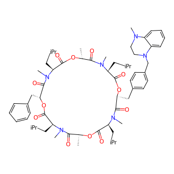 CC(C)C[C@H]1C(=O)O[C@H](Cc2ccc(CN3CCN(C)c4ccccc43)cc2)C(=O)N(C)[C@@H](CC(C)C)C(=O)O[C@H](C)C(=O)N(C)[C@@H](CC(C)C)C(=O)O[C@H](Cc2ccccc2)C(=O)N(C)[C@@H](CC(C)C)C(=O)O[C@H](C)C(=O)N1C